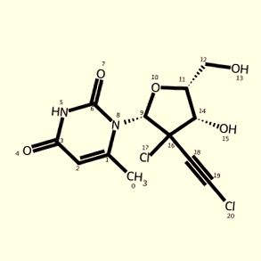 Cc1cc(=O)[nH]c(=O)n1[C@@H]1O[C@H](CO)[C@H](O)C1(Cl)C#CCl